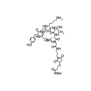 CNC(=O)CCSC1CC(=O)N(CCCNC(=O)CNC(=O)[C@H](CS)NC(=O)[C@@H](NC(=O)[C@H](CCCCN)NC(=O)CNC(=O)[C@H](Cc2ccc(O)cc2)NC(=O)CCS)[C@@H](C)O)C1=O